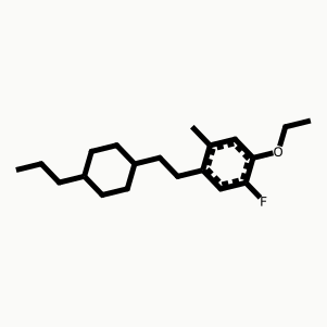 CCCC1CCC(CCc2cc(F)c(OCC)cc2C)CC1